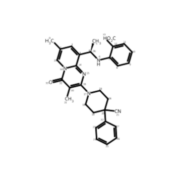 Cc1cc([C@@H](C)Nc2ccccc2C(=O)O)c2nc(N3CCC(C#N)(c4ccccc4)CC3)c(C)c(=O)n2c1